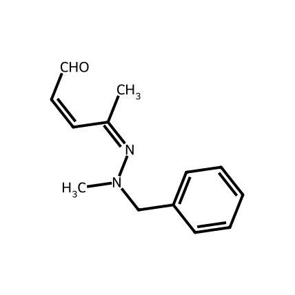 CC(/C=C\C=O)=N/N(C)Cc1ccccc1